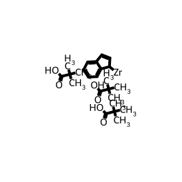 CC(C)(C)C(=O)O.CC(C)(C)C(=O)O.CC(C)(C)C(=O)O.[Zr][CH]1C=Cc2ccccc21